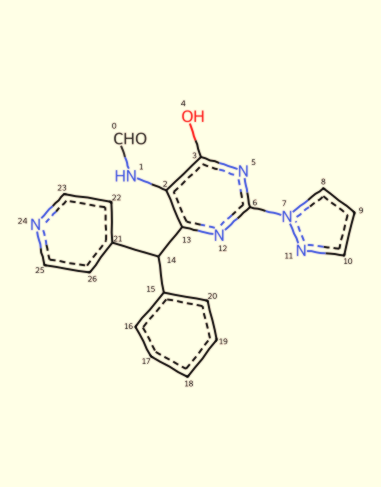 O=CNc1c(O)nc(-n2cccn2)nc1C(c1ccccc1)c1ccncc1